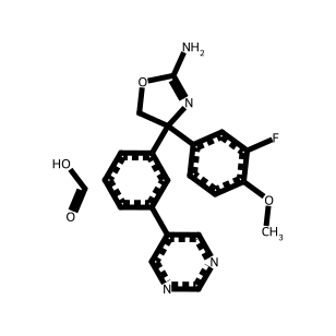 COc1ccc(C2(c3cccc(-c4cncnc4)c3)COC(N)=N2)cc1F.O=CO